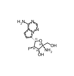 Nc1ncnn2c([C@@H]3O[C@](N)(CO)[C@@H](O)[C@H]3F)ccc12